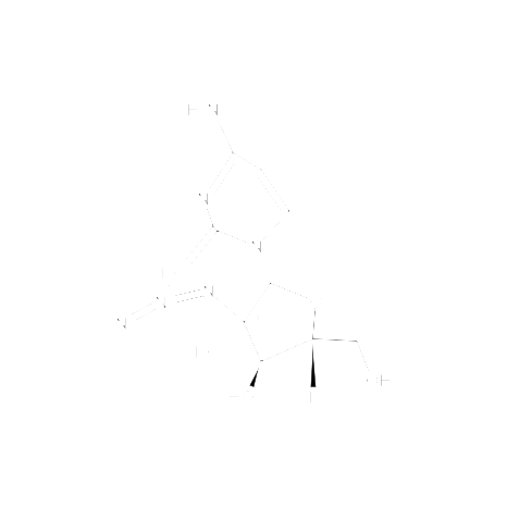 C=C1N=C(N)C=CN1[C@@H]1O[C@](F)(CO)[C@@H](O)[C@@]1(C)N=[N+]=[N-]